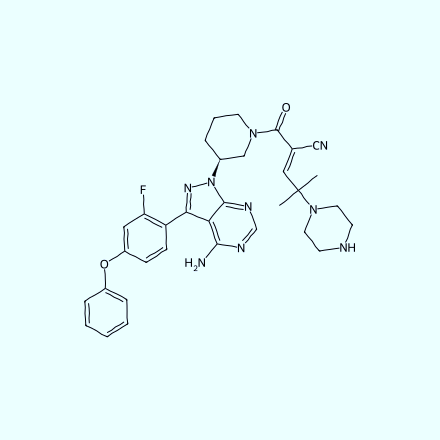 CC(C)(C=C(C#N)C(=O)N1CCC[C@H](n2nc(-c3ccc(Oc4ccccc4)cc3F)c3c(N)ncnc32)C1)N1CCNCC1